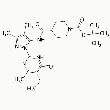 CCc1c(C)nc(-n2nc(C)c(C)c2NC(=O)C2CCN(C(=O)OC(C)(C)C)CC2)[nH]c1=O